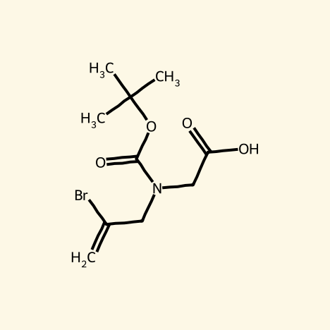 C=C(Br)CN(CC(=O)O)C(=O)OC(C)(C)C